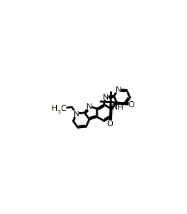 CCN1CC=CC2=C3C=CC45C(=O)NC(=O)C46C=CC=NC6=NC5=C3N=C21